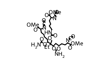 CCC(COC(=O)NCCCCC(N=C=O)C(=O)OC)(C(CCCCC(N=C=O)C(=O)OC)OC(N)=O)C(CCCCC(N=C=O)C(=O)OC)OC(N)=O